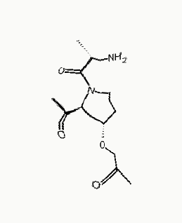 CC(=O)CO[C@H]1CCN(C(=O)[C@H](C)N)[C@@H]1C(C)=O